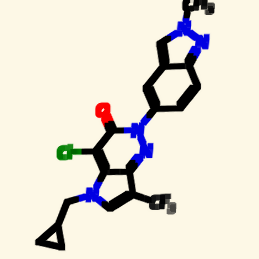 Cn1cc2cc(-n3nc4c(C(F)(F)F)cn(CC5CC5)c4c(Cl)c3=O)ccc2n1